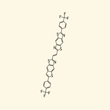 FC(F)(F)c1ccc(-c2cc3cc4sc(/C=C/c5nc6cc7sc(-c8ccc(C(F)(F)F)cc8)nc7cc6s5)nc4cc3s2)cc1